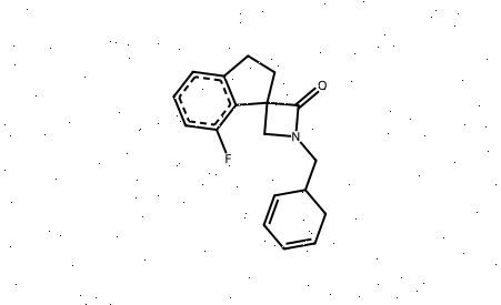 O=C1N(CC2C=CC=CC2)CC12CCc1cccc(F)c12